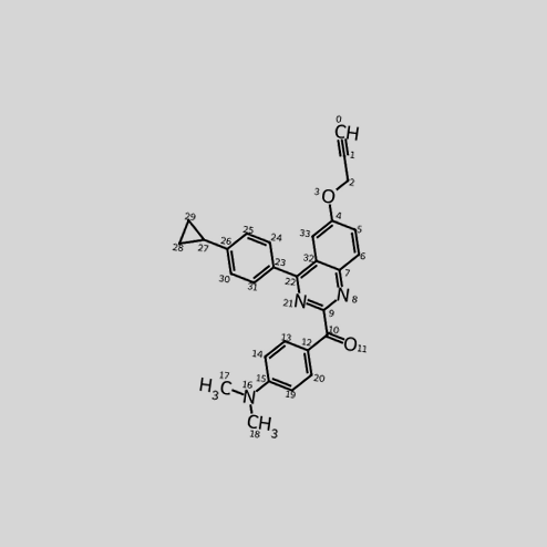 C#CCOc1ccc2nc(C(=O)c3ccc(N(C)C)cc3)nc(-c3ccc(C4CC4)cc3)c2c1